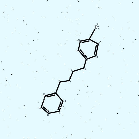 CCc1ccc(CCCCc2ccccc2)cc1